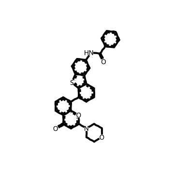 O=C(Nc1ccc2sc3c(-c4cccc5c(=O)cc(N6CCOCC6)oc45)cccc3c2c1)c1ccccc1